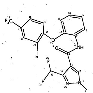 Cn1cc(C(=O)Nc2ccccc2Oc2ccc(C(F)(F)F)cc2I)c(C(F)F)n1